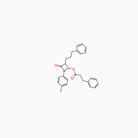 O=C(CCc1ccccc1)OC1C(CCCc2ccccc2)C(=O)N1c1ccc(F)cc1